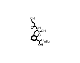 CCCCOC(O)c1cccc2c1OB(O)[C@@H](NC(=O)CCC#N)C2